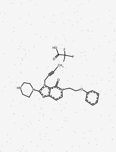 CC#CCn1c(N2CCNCC2)nc2ccn(CCOc3ccccc3)c(=O)c21.O=C(O)C(F)(F)F